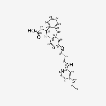 CCSc1ccnc(NCCCOc2ccc3c(c2)Cc2ccccc2C(CC(=O)O)C3)c1